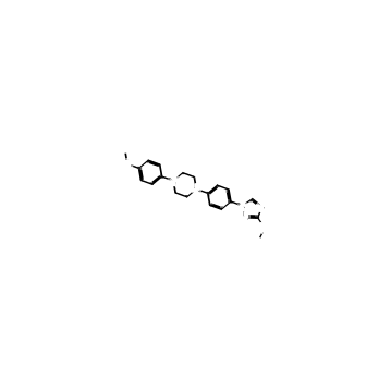 COc1ccc(N2CCN(c3ccc(-n4cnc(SC)n4)cc3)CC2)cc1